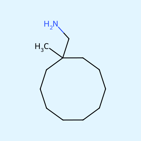 CC1(CN)CCCCCCCCC1